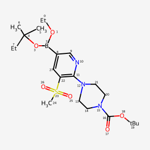 CCOB(OC(C)(C)CC)c1cnc(N2CCN(C(=O)OC(C)(C)C)CC2)c(S(C)(=O)=O)c1